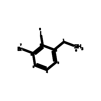 [SiH3]Cc1cccc(Br)c1I